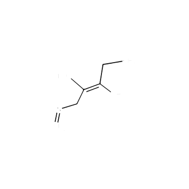 C=NC/C(C)=C(\C)CC